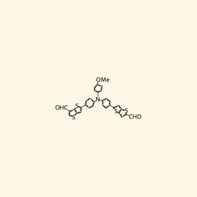 COc1ccc(N(c2ccc(-c3cc4sc(C=O)cc4s3)cc2)c2ccc(-c3cc4scc(C=O)c4s3)cc2)cc1